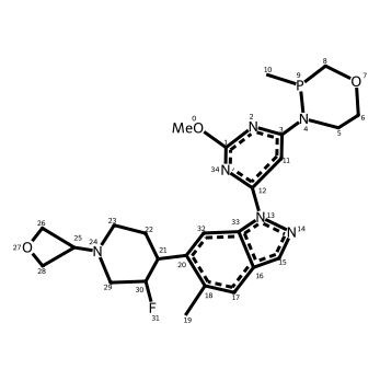 COc1nc(N2CCOCP2C)cc(-n2ncc3cc(C)c(C4CCN(C5COC5)CC4F)cc32)n1